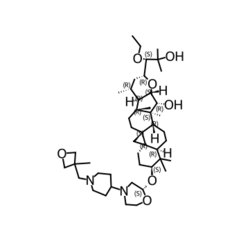 CCO[C@@H]([C@H]1C[C@@H](C)[C@H]2[C@H](O1)[C@H](O)[C@@]1(C)[C@@H]3CC[C@H]4C(C)(C)[C@@H](O[C@H]5CN(C6CCN(CC7(C)COC7)CC6)CCO5)CC[C@@]45C[C@@]35CC[C@]21C)C(C)(C)O